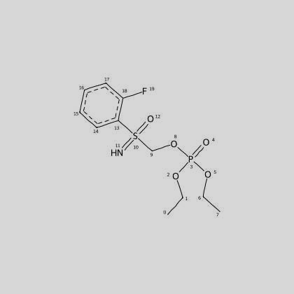 CCOP(=O)(OCC)OCS(=N)(=O)c1ccccc1F